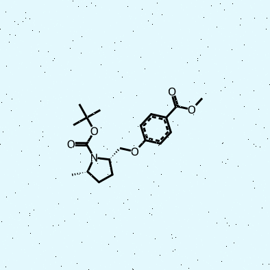 COC(=O)c1ccc(OC[C@@H]2CC[C@H](C)N2C(=O)OC(C)(C)C)cc1